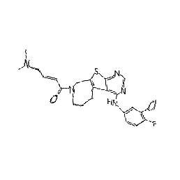 CN(C)CC=CC(=O)N1CCCc2c(sc3ncnc(Nc4ccc(F)c(Cl)c4)c23)C1